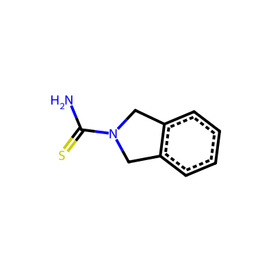 NC(=S)N1Cc2ccccc2C1